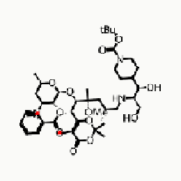 CO[C@](C)(C[C@@H](C)CN[C@H](CO)[C@H](O)C1CCN(C(=O)OC(C)(C)C)CC1)[C@H](O[C@@H]1O[C@H](C)C[C@H](N(C)C)[C@H]1OC(=O)c1ccccc1)[C@@H](C)C1=C(C)C(=O)OC(C)(C)O1